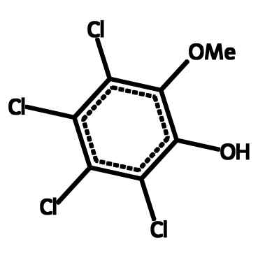 COc1c(O)c(Cl)c(Cl)c(Cl)c1Cl